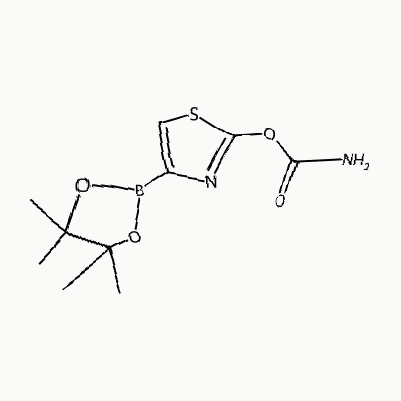 CC1(C)OB(c2csc(OC(N)=O)n2)OC1(C)C